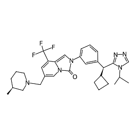 CC(C)n1cnnc1[C@H](c1cccc(-n2cc3c(C(F)(F)F)cc(CN4CCC[C@H](C)C4)cn3c2=O)c1)C1CCC1